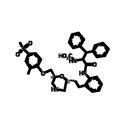 Cc1cc(S(C)(=O)=O)ccc1OC[C@@H]1CNC[C@@H](CCc2ccccc2NC(=O)C(NC(=O)O)C(c2ccccc2)c2ccccc2)O1